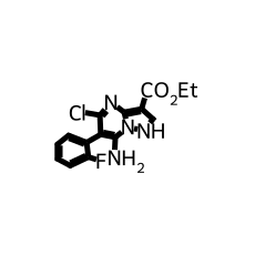 CCOC(=O)C1=C2N=C(Cl)C(c3ccccc3F)=C(N)N2NC1